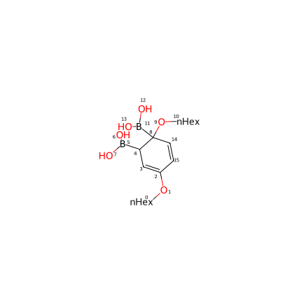 CCCCCCOC1=CC(B(O)O)C(OCCCCCC)(B(O)O)C=C1